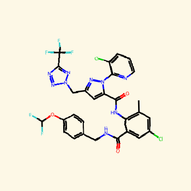 Cc1cc(Cl)cc(C(=O)NCc2ccc(OC(F)F)cc2)c1NC(=O)c1cc(Cn2nnc(C(F)(F)F)n2)nn1-c1ncccc1Cl